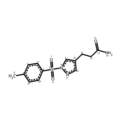 Cc1ccc(S(=O)(=O)n2cc([CH]CC(N)=O)cn2)cc1